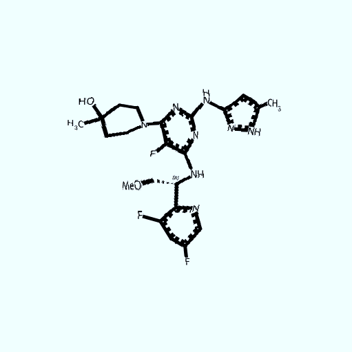 COC[C@H](Nc1nc(Nc2cc(C)[nH]n2)nc(N2CCC(C)(O)CC2)c1F)c1ncc(F)cc1F